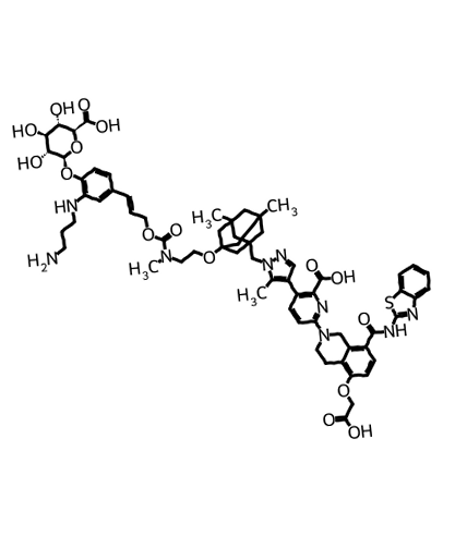 Cc1c(-c2ccc(N3CCc4c(OCC(=O)O)ccc(C(=O)Nc5nc6ccccc6s5)c4C3)nc2C(=O)O)cnn1CC12CC3(C)CC(C)(C1)CC(OCCN(C)C(=O)OC/C=C/c1ccc(O[C@@H]4O[C@H](C(=O)O)[C@@H](O)[C@H](O)[C@H]4O)c(NCCCN)c1)(C3)C2